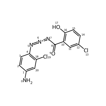 Nc1ccc(N=[N+]=NC(=O)c2cc(Cl)ccc2O)c(Cl)c1